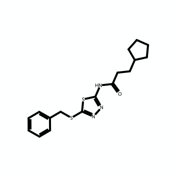 O=C(CCC1CCCC1)Nc1nnc(SCc2ccccc2)s1